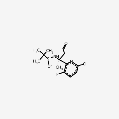 CC(C)(C)[S+]([O-])N[C@@](C)(CC=O)c1nc(Cl)ccc1F